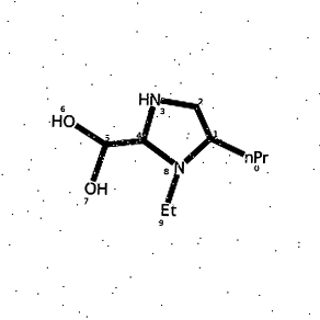 CCCC1CNC(C(O)O)N1CC